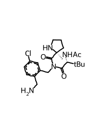 CC(=O)N[C@@H](C(=O)N(Cc1cc(Cl)ccc1CN)C(=O)[C@]1(C)CCCN1)C(C)(C)C